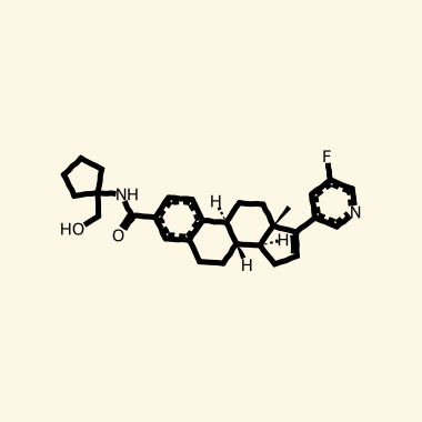 C[C@]12CC[C@@H]3c4ccc(C(=O)NC5(CO)CCCC5)cc4CC[C@H]3[C@@H]1CC=C2c1cncc(F)c1